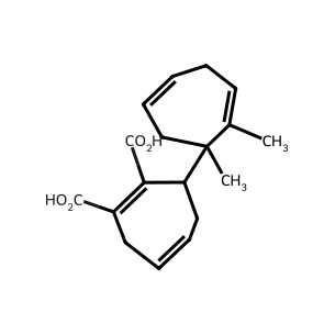 CC1=CCC=CCC1(C)C1CC=CCC(C(=O)O)=C1C(=O)O